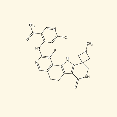 CC(=O)c1cnc(Cl)cc1Nc1ncc2c(c1F)-c1[nH]c3c(c1CC2)C(=O)NCC31CN(C)C1